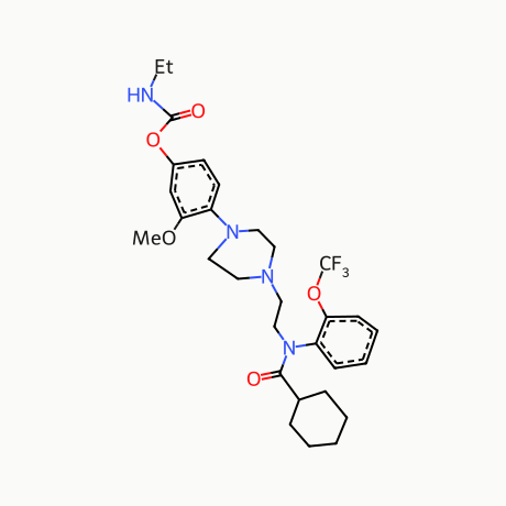 CCNC(=O)Oc1ccc(N2CCN(CCN(C(=O)C3CCCCC3)c3ccccc3OC(F)(F)F)CC2)c(OC)c1